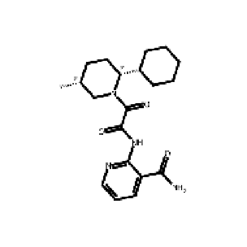 C[C@@H]1CC[C@H](C2CCCCC2)N(C(=O)C(=O)Nc2ncccc2C(N)=O)C1